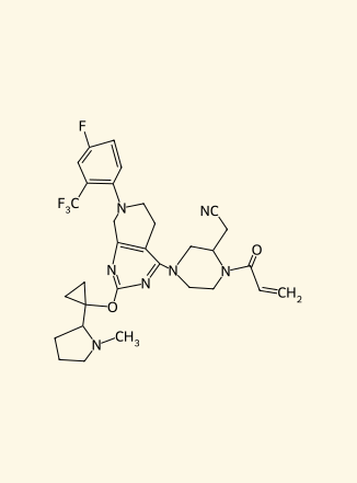 C=CC(=O)N1CCN(c2nc(OC3(C4CCCN4C)CC3)nc3c2CCN(c2ccc(F)cc2C(F)(F)F)C3)CC1CC#N